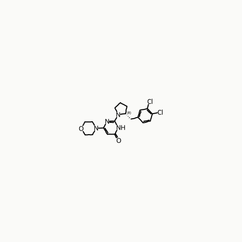 O=c1cc(N2CCOCC2)nc(N2CCC[C@@H]2Cc2ccc(Cl)c(Cl)c2)[nH]1